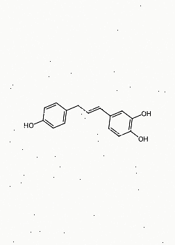 Oc1ccc(CC=Cc2ccc(O)c(O)c2)cc1